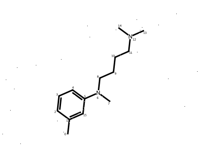 Cc1cccc(N(C)CCCCN(C)C)c1